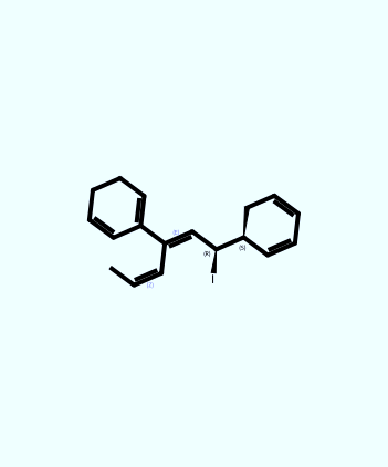 C/C=C\C(=C/[C@H](I)[C@@H]1C=CC=CC1)C1=CCCC=C1